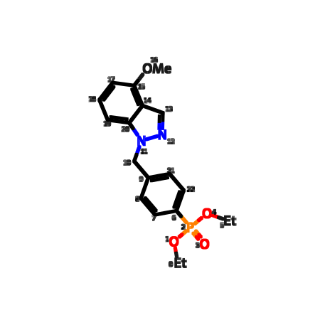 CCOP(=O)(OCC)c1ccc(Cn2ncc3c(OC)cccc32)cc1